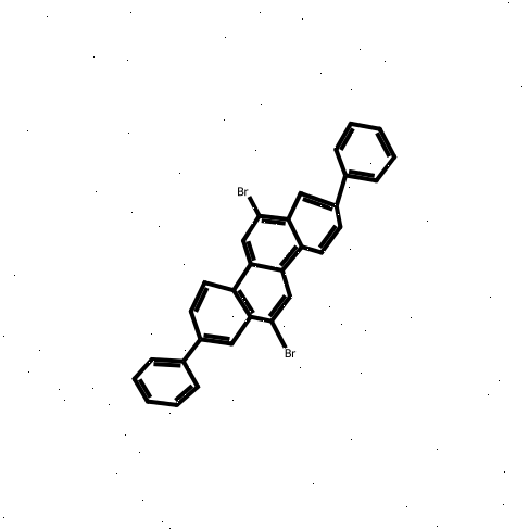 Brc1cc2c3ccc(-c4ccccc4)cc3c(Br)cc2c2ccc(-c3ccccc3)cc12